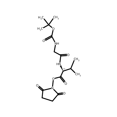 CC(C)[C@H](NC(=O)CNC(=O)OC(C)(C)C)C(=O)ON1C(=O)CCC1=O